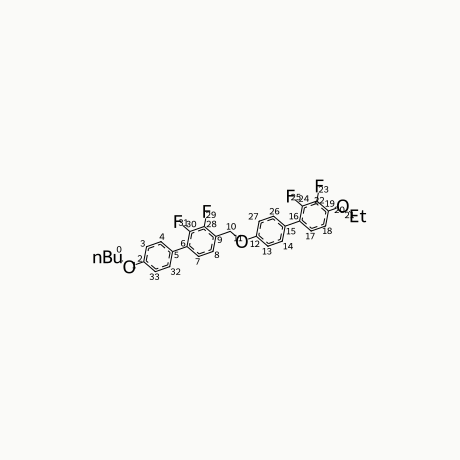 CCCCOc1ccc(-c2ccc(COc3ccc(-c4ccc(OCC)c(F)c4F)cc3)c(F)c2F)cc1